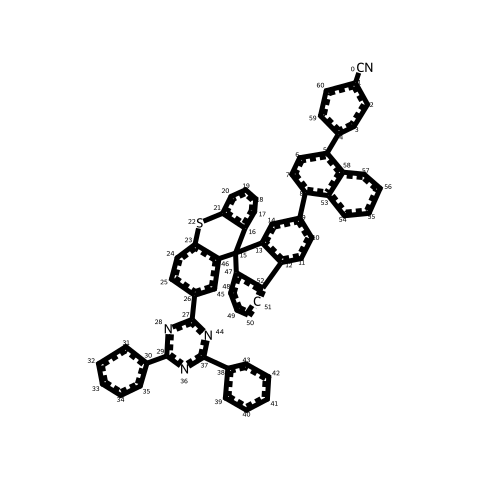 N#Cc1ccc(-c2ccc(-c3ccc4c(c3)C3(c5ccccc5Sc5ccc(-c6nc(-c7ccccc7)nc(-c7ccccc7)n6)cc53)c3ccccc3-4)c3ccccc23)cc1